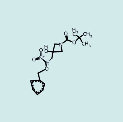 CC(C)(C)OC(=O)N1CC(O)(C[C@H](OCc2ccccc2)[N+](=O)[O-])C1